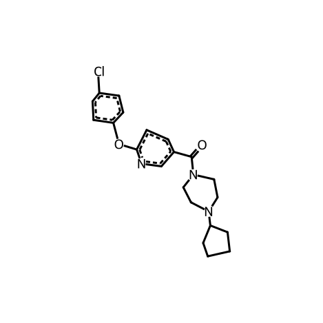 O=C(c1ccc(Oc2ccc(Cl)cc2)nc1)N1CCN(C2CCCC2)CC1